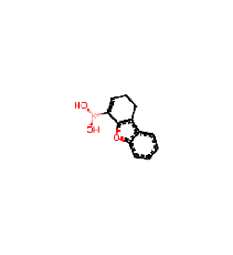 OB(O)C1=CCCc2c1oc1ccccc21